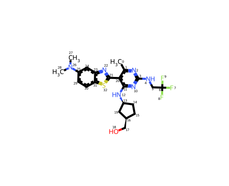 Cc1nc(NCC(F)(F)F)nc(N[C@H]2CC[C@@H](CO)C2)c1-c1nc2cc(N(C)C)ccc2s1